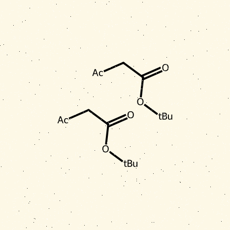 CC(=O)CC(=O)OC(C)(C)C.CC(=O)CC(=O)OC(C)(C)C